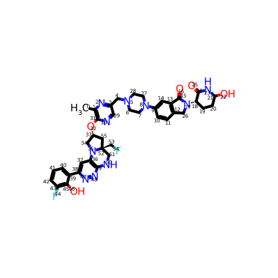 Cc1nc(CN2CCN(c3ccc4c(c3)C(=O)N([C@H]3CCC(O)NC3=O)C4)CC2)cnc1O[C@H]1CN2c3cc(-c4cccc(F)c4O)nnc3NC[C@@]2(CF)C1